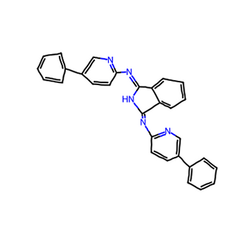 c1ccc(-c2ccc(/N=C3\N/C(=N/c4ccc(-c5ccccc5)cn4)c4ccccc43)nc2)cc1